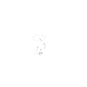 CCCCc1cc2c(C)cccc2[s+]1C(F)(F)F.O=S(=O)([O-])C(F)(F)F